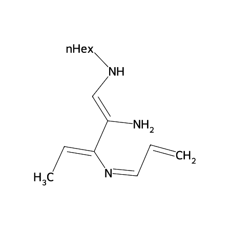 C=C\C=N/C(=C\C)C(/N)=C/NCCCCCC